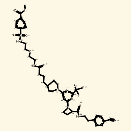 COC(=O)c1ccc(S(=O)(=O)NCCOCCNC(=O)CCCC2CCN(c3cc(N4CCC4C(=O)NCCc4ccc(C#N)cc4)nc(C(F)(F)F)n3)CC2)cc1